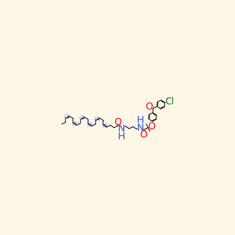 CC/C=C\C/C=C\C/C=C\C/C=C\C/C=C\C/C=C\CCC(=O)NCCCCNC(=O)C(C)(C)Oc1ccc(C(=O)c2ccc(Cl)cc2)cc1